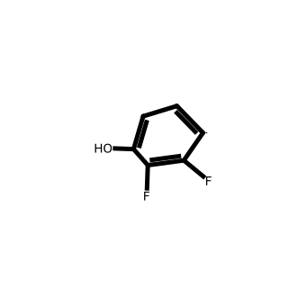 Oc1cc[c]c(F)c1F